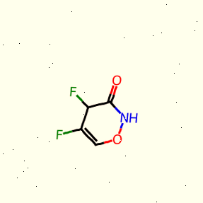 O=C1NOC=C(F)C1F